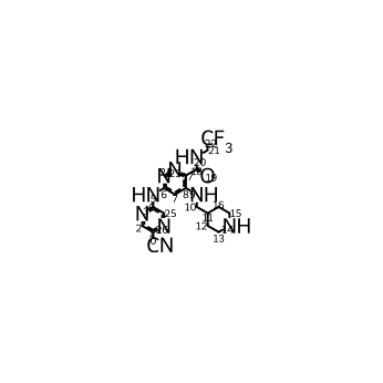 N#Cc1cnc(Nc2cc(NCC3CCNCC3)c(C(=O)NCC(F)(F)F)nn2)cn1